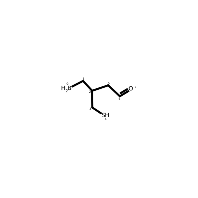 BCC(CS)CC=O